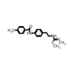 C/N=C(/NCCc1ccc(NC(=O)c2ccc(C)cc2)cc1)SC